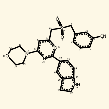 N#Cc1cccc(CS(=O)(=O)Cc2cc(N3CCOCC3)nc(-c3ccc4[nH]ccc4c3)n2)c1